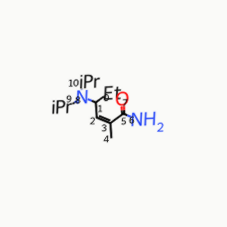 CCC(C=C(C)C(N)=O)N(C(C)C)C(C)C